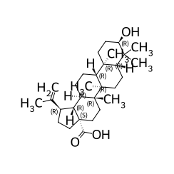 C=C(C)[C@@H]1CC[C@]2(C(=O)O)CC[C@]3(C)[C@H](CC[C@@H]4[C@@]5(C)CC[C@@H](O)C(C)(C)[C@@H]5CC[C@]43C)[C@@H]12